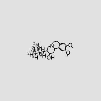 [2H]C([2H])([2H])C(C)(C([2H])([2H])[2H])C([2H])([2H])C1CN2CCc3cc(OC)c(OC)cc3C2CC1O